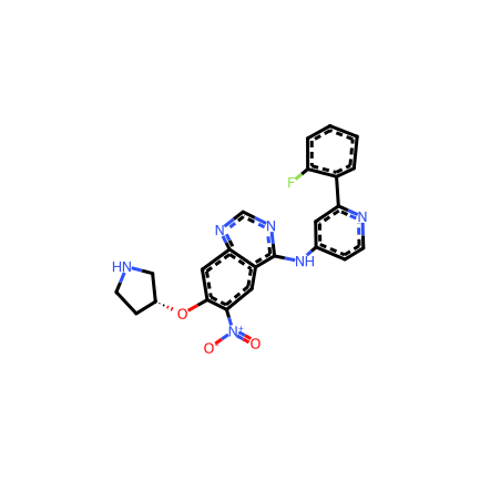 O=[N+]([O-])c1cc2c(Nc3ccnc(-c4ccccc4F)c3)ncnc2cc1O[C@@H]1CCNC1